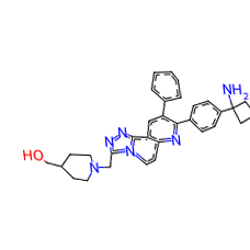 NC1(c2ccc(-c3nc4ccn5c(CN6CCC(CO)CC6)nnc5c4cc3-c3ccccc3)cc2)CCC1